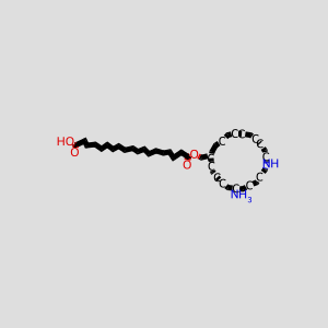 C1CCCCCCCCCCCNCCCCCCCCCCC1.CCOC(=O)CCCCCCCCCCCCCCCCCC(=O)O.N